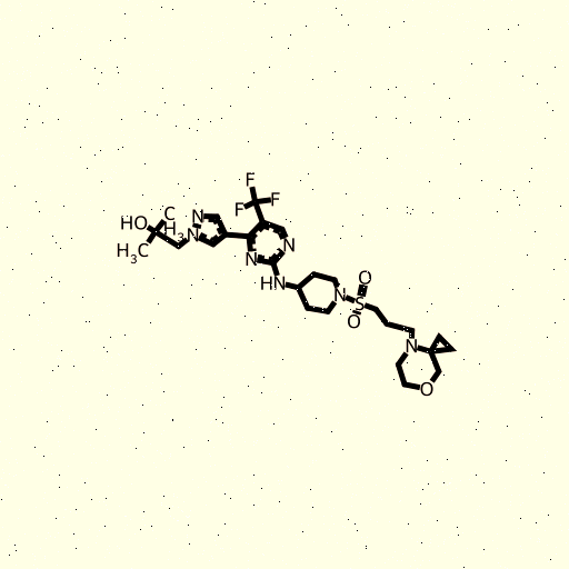 CC(C)(O)Cn1cc(-c2nc(NC3CCN(S(=O)(=O)CCCN4CCOCC45CC5)CC3)ncc2C(F)(F)F)cn1